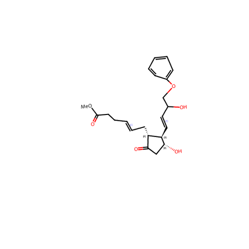 COC(=O)CC/C=C/C[C@H]1C(=O)C[C@@H](O)[C@@H]1/C=C/C(O)COc1ccccc1